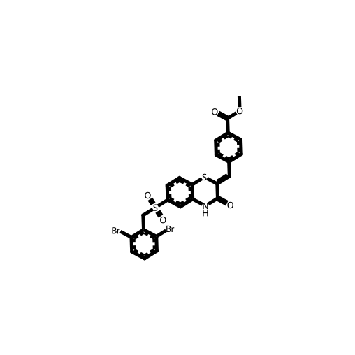 COC(=O)c1ccc(C=C2Sc3ccc(S(=O)(=O)Cc4c(Br)cccc4Br)cc3NC2=O)cc1